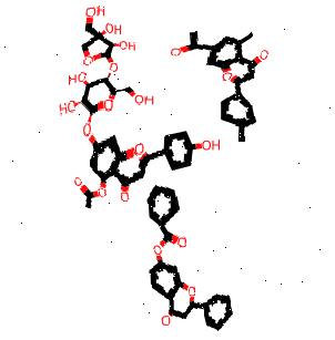 CC(=O)Oc1cc(O[C@@H]2O[C@H](CO)[C@@H](OC3OC[C@](O)(CO)[C@H]3O)[C@H](O)[C@H]2O)cc2oc(-c3ccc(O)cc3)cc(=O)c12.CC(=O)c1cc(C)c2c(=O)cc(-c3ccc(C)cc3)oc2c1.O=C(Oc1ccc2c(c1)OC(c1ccccc1)CC2=O)c1ccccc1